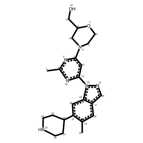 Cc1nc(N2CCOC(CO)C2)cc(-n2ncc3cc(C)c(C4CCNCC4)cc32)n1